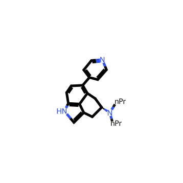 CCCN(CCC)[C@H]1Cc2c[nH]c3ccc(-c4ccncc4)c(c23)C1